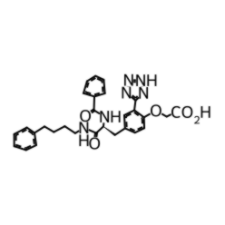 O=C(O)COc1ccc(C[C@H](NC(=O)c2ccccc2)C(=O)NCCCCc2ccccc2)cc1-c1nn[nH]n1